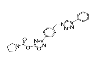 O=C(Oc1nc(-c2ccc(Cn3cc(-c4ccccc4)nn3)cc2)no1)N1CCCC1